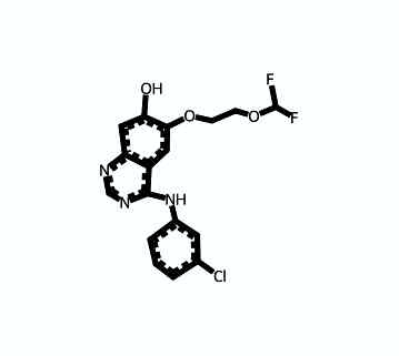 Oc1cc2ncnc(Nc3cccc(Cl)c3)c2cc1OCCOC(F)F